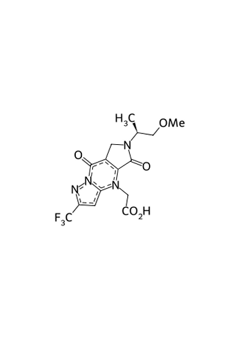 COC[C@H](C)N1Cc2c(n(CC(=O)O)c3cc(C(F)(F)F)nn3c2=O)C1=O